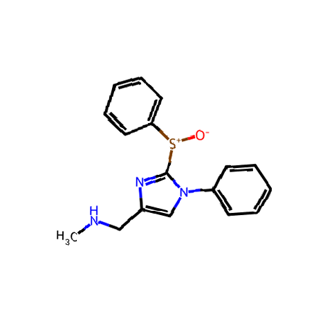 CNCc1cn(-c2ccccc2)c([S+]([O-])c2ccccc2)n1